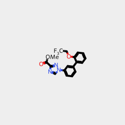 COC(=O)c1ncn(-c2cccc(-c3ccccc3OCC(F)(F)F)c2)n1